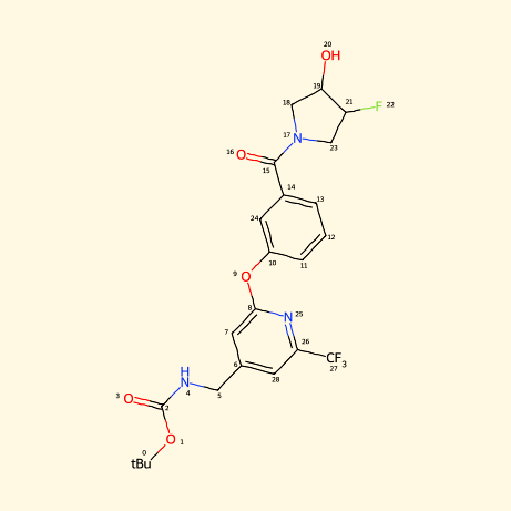 CC(C)(C)OC(=O)NCc1cc(Oc2cccc(C(=O)N3CC(O)C(F)C3)c2)nc(C(F)(F)F)c1